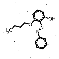 CCCCOc1cccc(O)c1/N=N/c1ccccc1